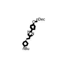 CCCCCCCCCCCOc1ccc(-c2ncc(CC[C@H]3CC[C@H](CCCC)CC3)cn2)cc1